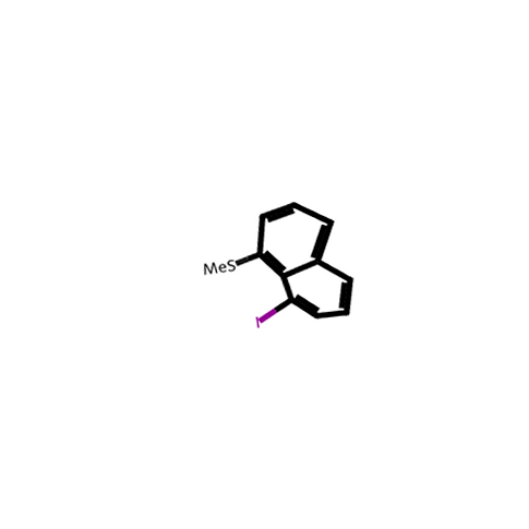 CSc1cccc2cccc(I)c12